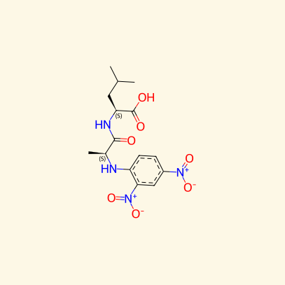 CC(C)C[C@H](NC(=O)[C@H](C)Nc1ccc([N+](=O)[O-])cc1[N+](=O)[O-])C(=O)O